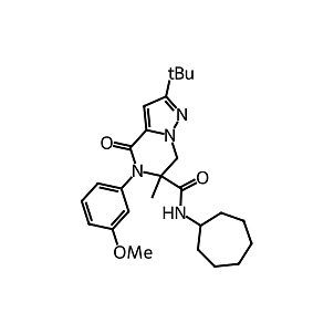 COc1cccc(N2C(=O)c3cc(C(C)(C)C)nn3CC2(C)C(=O)NC2CCCCCC2)c1